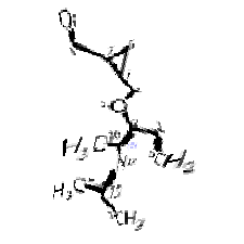 C=C/C(OCC1CC1C=O)=C(/C)N=C(C)C